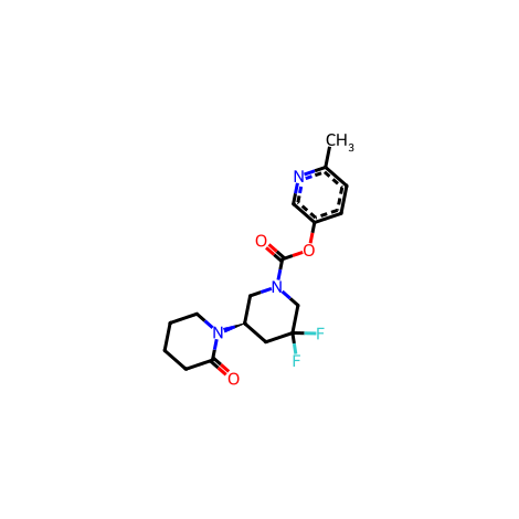 Cc1ccc(OC(=O)N2C[C@H](N3CCCCC3=O)CC(F)(F)C2)cn1